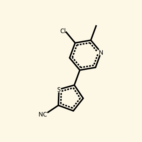 Cc1ncc(-c2ccc(C#N)s2)cc1Cl